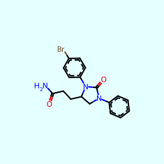 NC(=O)CCC1CN(c2ccccc2)C(=O)N1c1ccc(Br)cc1